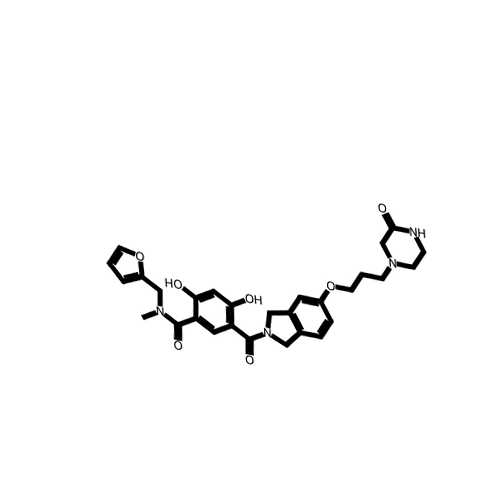 CN(Cc1ccco1)C(=O)c1cc(C(=O)N2Cc3ccc(OCCCN4CCNC(=O)C4)cc3C2)c(O)cc1O